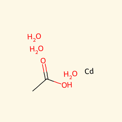 CC(=O)O.O.O.O.[Cd]